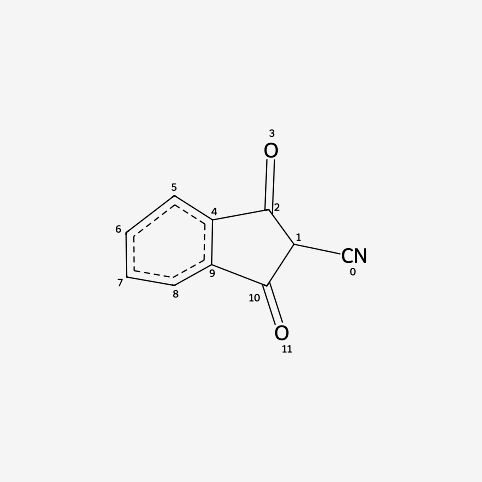 N#CC1C(=O)c2ccccc2C1=O